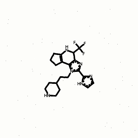 FC(F)(F)C1NC2=C(CCC2)c2c1nc(-c1ncc[nH]1)n2CCC1CCNCC1